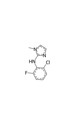 Cn1ccnc1Nc1c(F)cccc1Cl